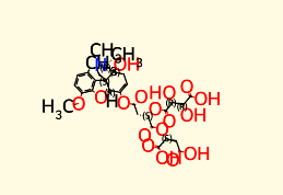 COc1ccc(C)c2c1O[C@H]1C(OC(=O)C[C@H](OC(=O)[C@H](O)[C@@H](O)C(=O)O)C(=O)O[C@@H](CC(=O)O)C(=O)O)=CC[C@@]3(O)[C@@H](C)N(C)CC[C@]213